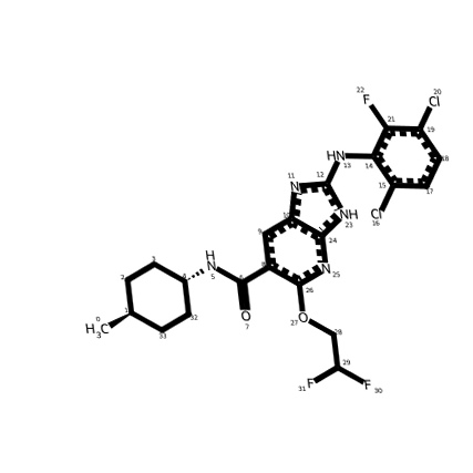 C[C@H]1CC[C@H](NC(=O)c2cc3nc(Nc4c(Cl)ccc(Cl)c4F)[nH]c3nc2OCC(F)F)CC1